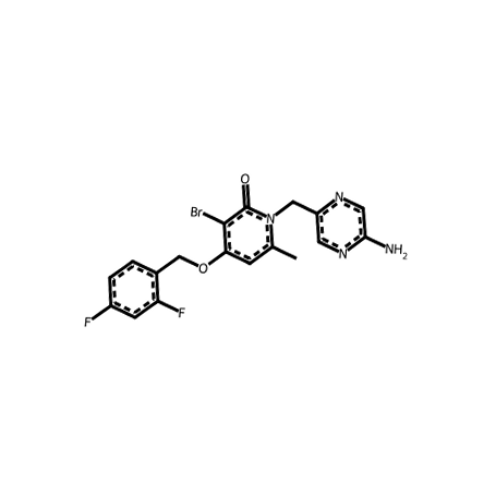 Cc1cc(OCc2ccc(F)cc2F)c(Br)c(=O)n1Cc1cnc(N)cn1